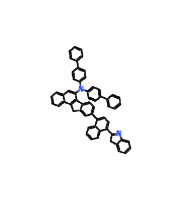 c1ccc(-c2ccc(N(c3ccc(-c4ccccc4)cc3)c3cc4ccccc4c4c3-c3ccc(-c5ccc(C6=Nc7ccccc7C6)c6ccccc56)cc3C4)cc2)cc1